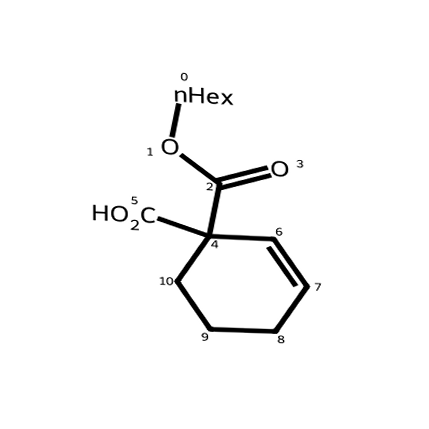 CCCCCCOC(=O)C1(C(=O)O)C=CCCC1